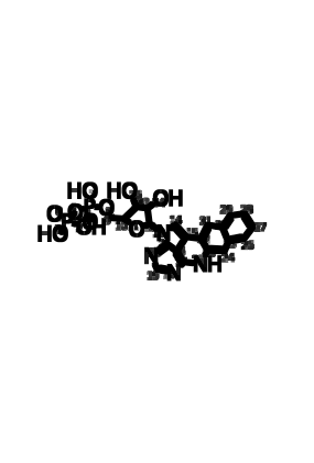 O=P(O)(O)OP(=O)(O)OCC1OC(n2cc3c4c(ncnc42)Nc2cc4ccccc4cc2-3)C(O)C1O